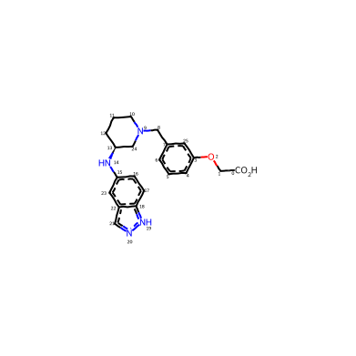 O=C(O)COc1cccc(CN2CCC[C@H](Nc3ccc4[nH]ncc4c3)C2)c1